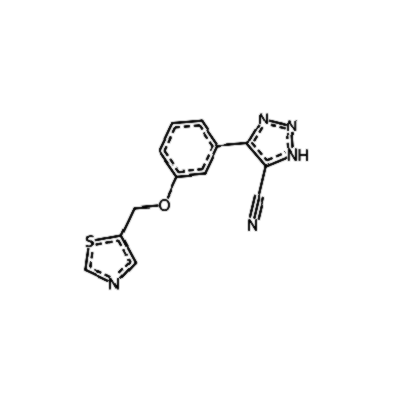 N#Cc1[nH]nnc1-c1cccc(OCc2cncs2)c1